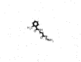 Cc1ccccc1C(=O)NCCC(=O)N=NN